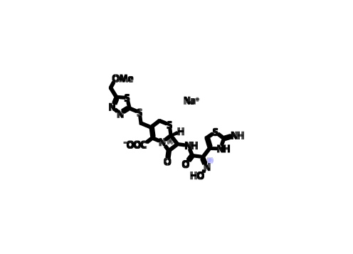 COCc1nnc(SCC2=C(C(=O)[O-])N3C(=O)C(NC(=O)/C(=N\O)c4csc(=N)[nH]4)[C@H]3SC2)s1.[Na+]